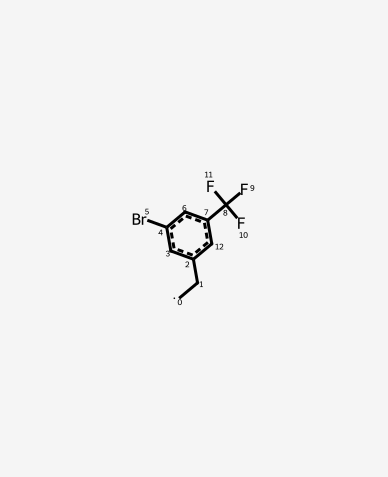 [CH2]Cc1cc(Br)cc(C(F)(F)F)c1